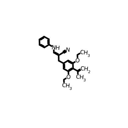 C=C(C)c1c(OCC)cc(CC(C#N)=CNc2ccccc2)cc1OCC